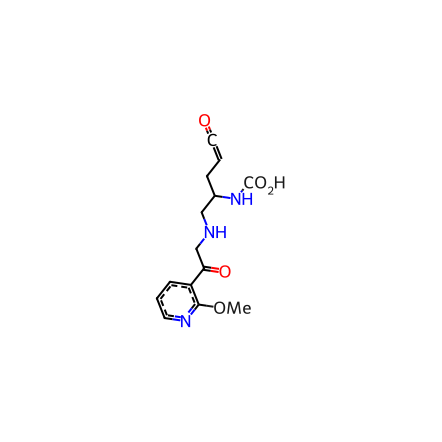 COc1ncccc1C(=O)CNCC(CC=C=O)NC(=O)O